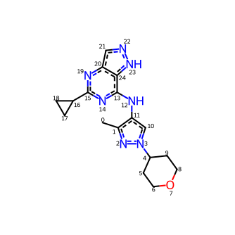 Cc1nn(C2CCOCC2)cc1Nc1nc(C2CC2)nc2cn[nH]c12